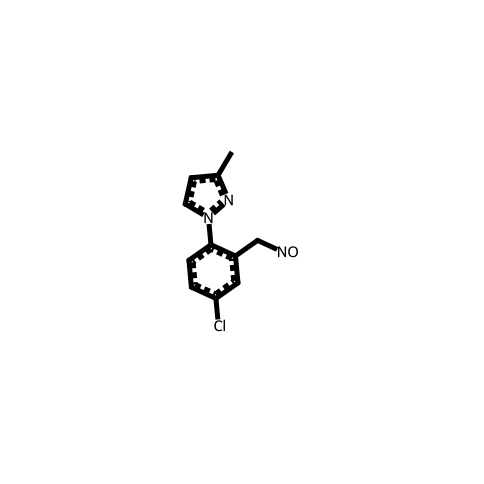 Cc1ccn(-c2ccc(Cl)cc2CN=O)n1